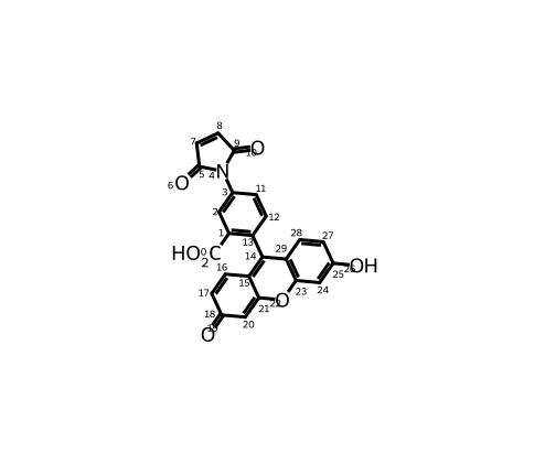 O=C(O)c1cc(N2C(=O)C=CC2=O)ccc1-c1c2ccc(=O)cc-2oc2cc(O)ccc12